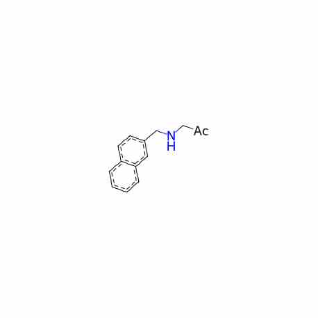 CC(=O)CNCc1ccc2ccccc2c1